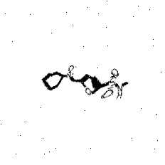 CNS(=O)(=O)c1ccc(C=[N+]([O-])C2CCCCC2)o1